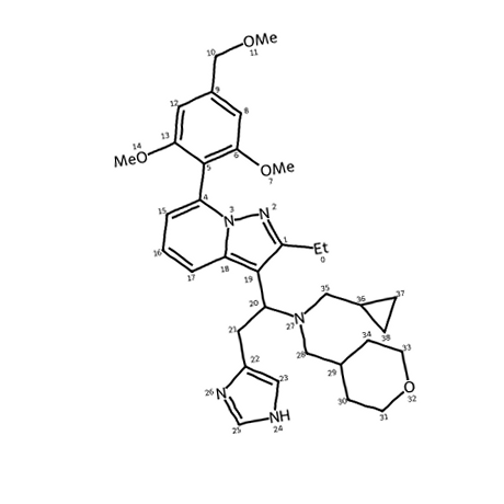 CCc1nn2c(-c3c(OC)cc(COC)cc3OC)cccc2c1C(Cc1c[nH]cn1)N(CC1CCOCC1)CC1CC1